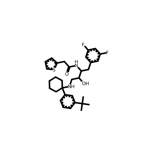 CC(C)(C)c1cccc(C2(NCC(O)C(Cc3cc(F)cc(F)c3)NC(=O)Cc3cccs3)CCCCC2)c1